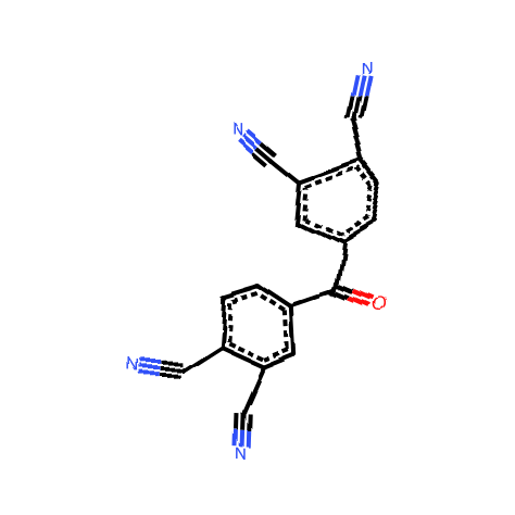 N#Cc1ccc(C(=O)c2ccc(C#N)c(C#N)c2)cc1C#N